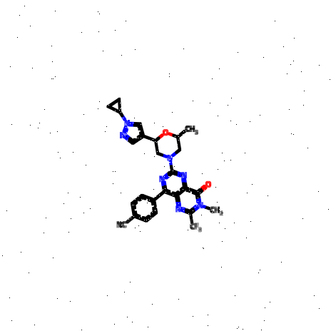 CC1CN(c2nc(-c3ccc(C#N)cc3)c3nc(C(F)(F)F)n(C)c(=O)c3n2)CC(c2cnn(C3CC3)c2)O1